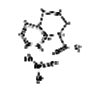 O=C(O)N1CC=Cc2cccnc21.O=[PH](O)O